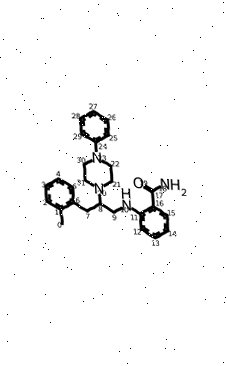 Cc1ccccc1CC(CNc1ccccc1C(N)=O)N1CCN(c2ccccc2)CC1